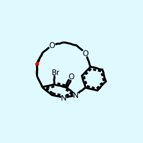 O=c1c(Br)c2cnn1-c1cccc(c1)OCCOC1CC2C1